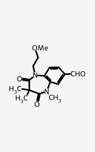 COCCN1C(=O)C(C)(C)C(=O)N(C)c2cc(C=O)ccc21